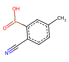 Cc1ccc(C#N)c(S(=O)O)c1